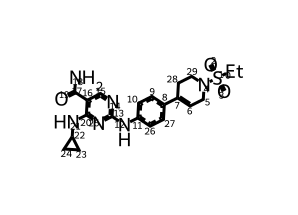 CCS(=O)(=O)N1CC=C(c2ccc(Nc3ncc(C(N)=O)c(NC4CC4)n3)cc2)CC1